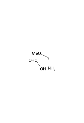 COCN.O=CO